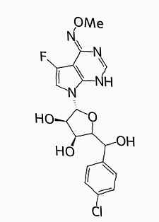 CON=c1nc[nH]c2c1c(F)cn2[C@@H]1OC(C(O)c2ccc(Cl)cc2)[C@@H](O)[C@H]1O